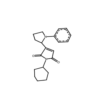 O=C1C=C(C2CCCN2c2ccccc2)C(=O)N1C1CCCCC1